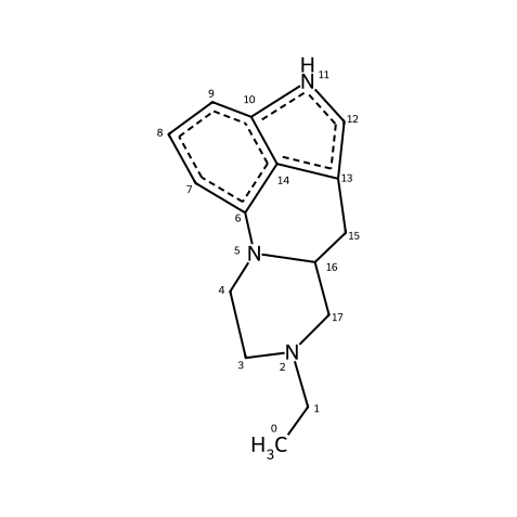 CCN1CCN2c3cccc4[nH]cc(c34)CC2C1